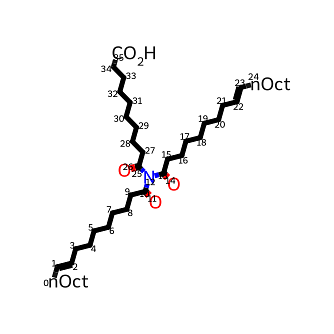 CCCCCCCCC=CCCCCCCCC(=O)N(C(=O)CCCCCCCC=CCCCCCCCC)C(=O)CCCCCCCCC(=O)O